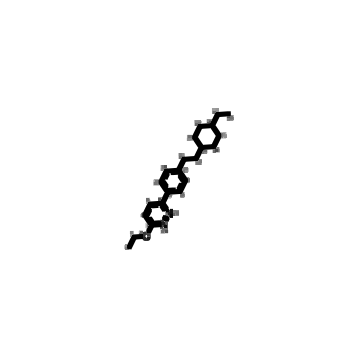 CCOc1ccc(-c2ccc(CCC3CCC(CC)CC3)cc2)nn1